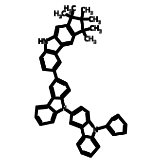 CC1(C)c2cc3[nH]c4ccc(-c5ccc6c(c5)c5ccccc5n6-c5ccc6c(c5)c5ccccc5n6-c5ccccc5)cc4c3cc2C(C)(C)C1(C)C